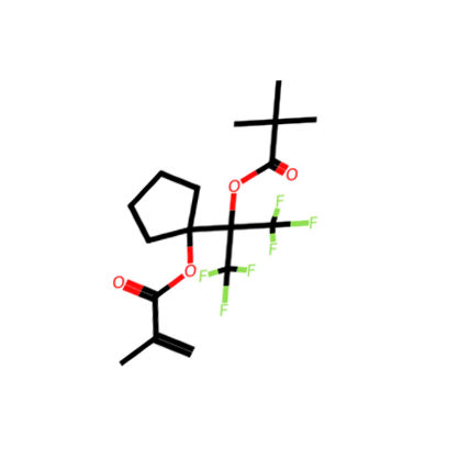 C=C(C)C(=O)OC1(C(OC(=O)C(C)(C)C)(C(F)(F)F)C(F)(F)F)CCCC1